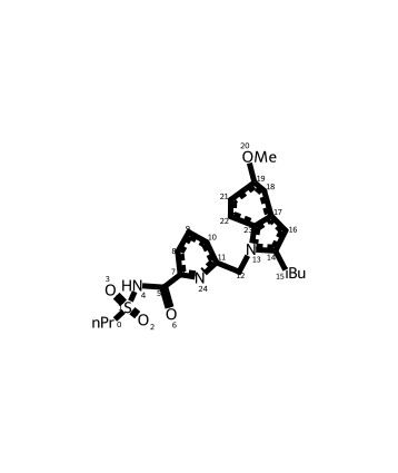 CCCS(=O)(=O)NC(=O)c1cccc(Cn2c(C(C)CC)cc3cc(OC)ccc32)n1